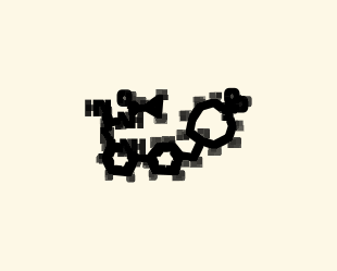 N=C(/N=c1/cccc(-c2ccc(CC3CCCCS(=O)(=O)CCC3)cc2)[nH]1)NC(=O)C1CC1